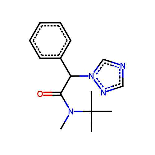 CN(C(=O)C(c1ccccc1)n1cncn1)C(C)(C)C